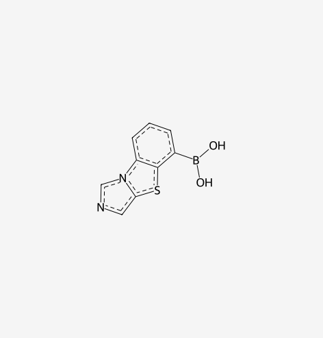 OB(O)c1cccc2c1sc1cncn12